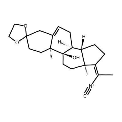 [C-]#[N+]/C(C)=C1/CC[C@H]2[C@@H]3CC=C4CC5(CC[C@]4(C)[C@@]3(O)CC[C@]12C)OCCO5